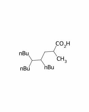 CCCCC(CCCC)C(CCCC)CC(C)C(=O)O